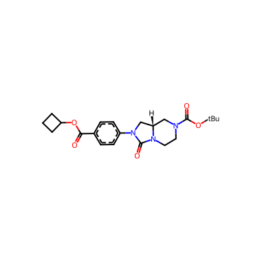 CC(C)(C)OC(=O)N1CCN2C(=O)N(c3ccc(C(=O)OC4CCC4)cc3)C[C@@H]2C1